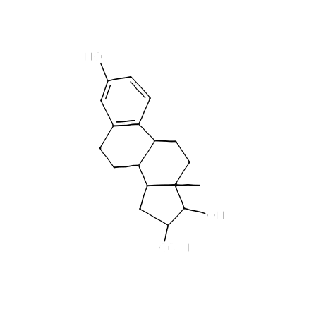 CC12CCC3c4ccc(O)cc4CCC3C1CC(C(=O)O)C2O